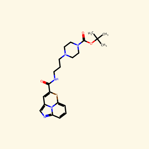 CC(C)(C)OC(=O)N1CCN(CCCNC(=O)C2=Cc3cnc4cccc(n34)S2)CC1